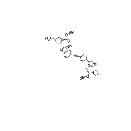 C=C1C[C@@H](c2nc3ccc(C#Cc4ccc(-c5c[nH]c([C@@H]6CCCN6C(=O)OC(C)(C)C)n5)cc4)cc3[nH]2)N(C(=O)OC(C)(C)C)C1